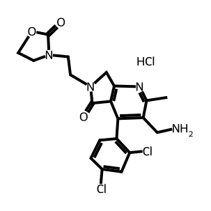 Cc1nc2c(c(-c3ccc(Cl)cc3Cl)c1CN)C(=O)N(CCN1CCOC1=O)C2.Cl